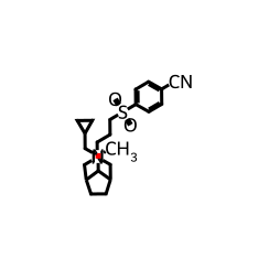 CN(CC1CC1)C1C2CCC1CN(CCCS(=O)(=O)c1ccc(C#N)cc1)C2